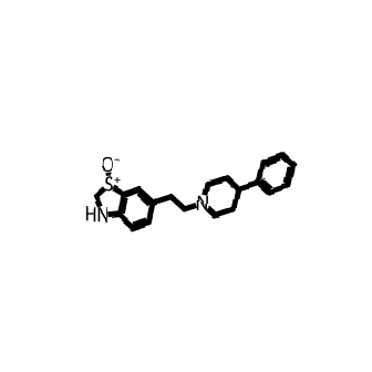 [O-][S+]1CNc2ccc(CCN3CCC(c4ccccc4)CC3)cc21